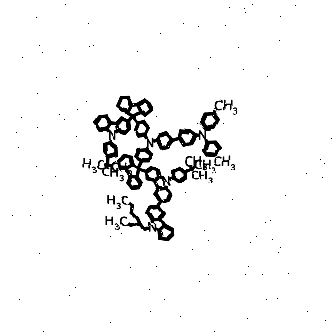 CCCCC(CC)Cn1c2ccccc2c2cc(-c3ccc4c(c3)c3cc(C5(c6ccc(N(c7ccc(-c8ccc(N(c9ccc(C)cc9)c9ccc(C)cc9)cc8)cc7)c7ccc(C8(c9ccc%10c(c9)c9ccccc9n%10-c9ccc(C(C)(C)C)cc9)c9ccccc9-c9ccccc98)cc7)cc6)c6ccccc6-c6ccccc65)ccc3n4-c3ccc(C(C)(C)C)cc3)ccc21